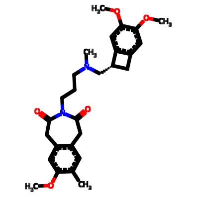 COc1cc2c(cc1C)CC(=O)N(CCCN(C)C[C@H]1Cc3cc(OC)c(OC)cc31)C(=O)C2